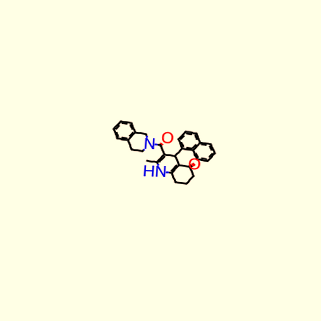 CC1=C(C(=O)N2CCc3ccccc3C2)C(c2cccc3ccccc23)C2=C(CCCC2=O)N1